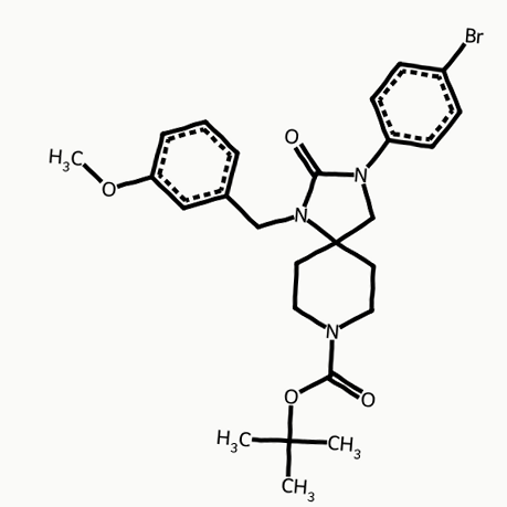 COc1cccc(CN2C(=O)N(c3ccc(Br)cc3)CC23CCN(C(=O)OC(C)(C)C)CC3)c1